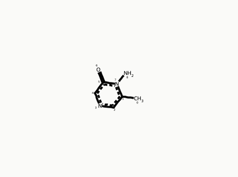 Cc1cncc(=O)n1N